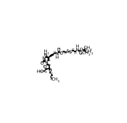 CSSCOC1C[C@H](n2cc(C#CCNC(=O)OCCSSCCNC(=O)OC(C)(C)C)c(N)nc2=O)O[C@@H]1CO